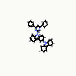 C1=CCCC(c2cc(-c3ccccc3)nc(-n3c4ccccc4c4cc(-n5c6ccccc6c6ccccc65)ccc43)n2)=C1